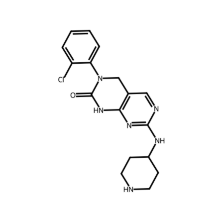 O=C1Nc2nc(NC3CCNCC3)ncc2CN1c1ccccc1Cl